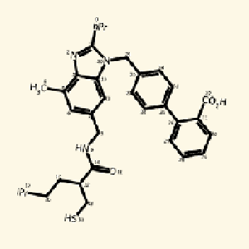 CCCc1nc2c(C)cc(CNC(=O)C(CS)CCC(C)C)cc2n1Cc1ccc(-c2ccccc2C(=O)O)cc1